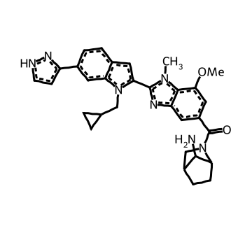 COc1cc(C(=O)N2CC3CCC2C3N)cc2nc(-c3cc4ccc(-c5cc[nH]n5)cc4n3CC3CC3)n(C)c12